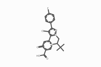 CC(C)(C)C1Cn2nc(-c3ccc(F)cc3)c(Cl)c2-c2cc(=O)c(C(=O)O)cn21